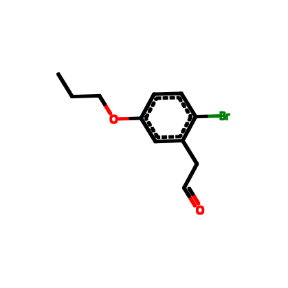 CCCOc1ccc(Br)c(CC=O)c1